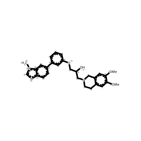 COc1cc2c(cc1OC)CN(CC(O)COc1cccc(-c3ccc4ncn(C)c4c3)c1)CC2